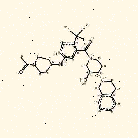 CC(=O)N1CCC(Nc2cc(C(=O)N3CC[C@H](N4CCc5ccccc5C4)[C@@H](O)C3)c(C(F)(F)F)cn2)CC1